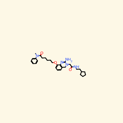 CN(C(=O)CCCCCOc1cccc2c1N=C(N)N(CC(=O)NCCC1CCCC1)C2)c1ccccc1